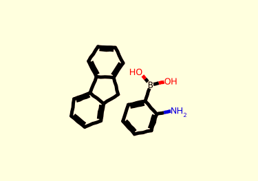 Nc1ccccc1B(O)O.c1ccc2c(c1)Cc1ccccc1-2